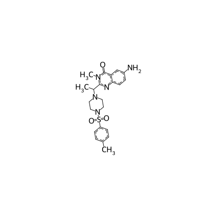 Cc1ccc(S(=O)(=O)N2CCN(C(C)c3nc4ccc(N)cc4c(=O)n3C)CC2)cc1